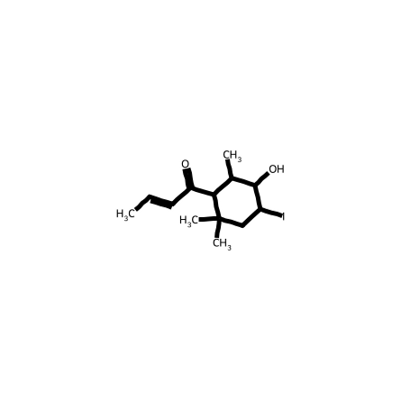 C/C=C/C(=O)C1C(C)C(O)C(I)CC1(C)C